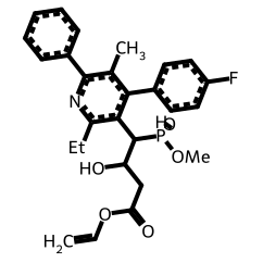 C=COC(=O)CC(O)C(c1c(CC)nc(-c2ccccc2)c(C)c1-c1ccc(F)cc1)[PH](=O)OC